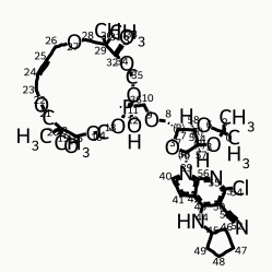 CC1(C)O[C@@H]2[C@H](O1)[C@@H](COC[P]1(O)OCOC(=O)C(C)(C)COCC=CCOCC(C)(C)C(=O)OCO1)O[C@H]2n1ccc2c(NC3CCCC3)c(C#N)c(Cl)nc21